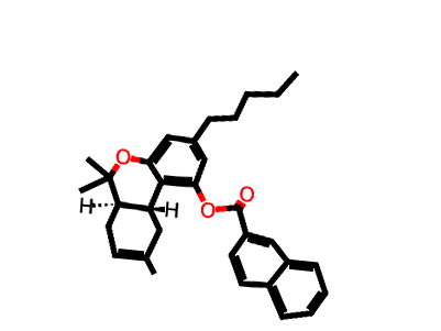 CCCCCc1cc(OC(=O)c2ccc3ccccc3c2)c2c(c1)OC(C)(C)[C@@H]1CC=C(C)C[C@@H]21